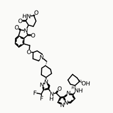 O=C1CCC(N2C(=O)c3cccc(COC4CCN(C[C@H]5CC[C@H](n6cc(NC(=O)c7cnn8ccc(N[C@@H]9CCCC[C@@H]9O)nc78)c(C(F)F)n6)CC5)CC4)c3C2=O)C(=O)N1